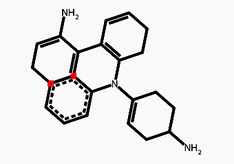 NC1=CCCC=C1C1=C(N(C2=CCC(N)CC2)c2ccccc2)CCC=C1